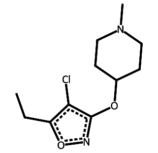 CCc1onc(OC2CCN(C)CC2)c1Cl